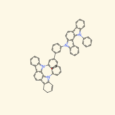 C1=Cc2c(c3ccc4c5ccccc5n(-c5cccc(-c6cccc(-n7c8ccccc8c8c7ccc7c9ccccc9n(-c9ccccc9)c78)c6)c5)c4c3n2-c2ccccc2)CC1